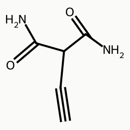 C#CC(C(N)=O)C(N)=O